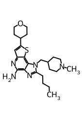 CCCCc1nc2c(N)nc3cc(C4CCOCC4)sc3c2n1CC1CCN(C)CC1